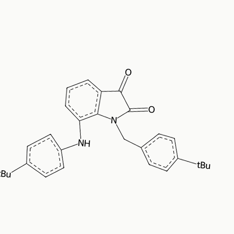 CC(C)(C)c1ccc(CN2C(=O)C(=O)c3cccc(Nc4ccc(C(C)(C)C)cc4)c32)cc1